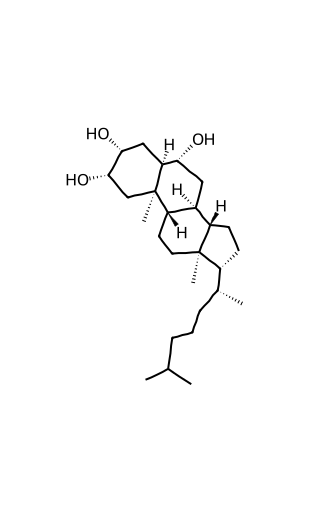 CC(C)CCC[C@@H](C)[C@H]1CC[C@H]2[C@@H]3C[C@@H](O)[C@@H]4C[C@@H](O)[C@@H](O)C[C@]4(C)[C@H]3CC[C@]12C